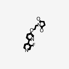 O=C1CCC(=O)N1CCOc1ccc(-c2ccncc2F)nc1